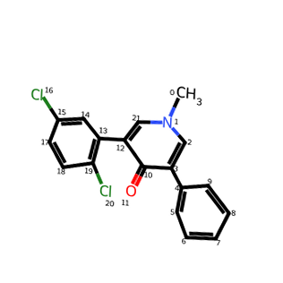 Cn1cc(-c2ccccc2)c(=O)c(-c2cc(Cl)ccc2Cl)c1